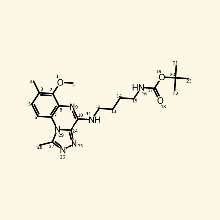 COc1c(C)ccc2c1nc(NCCCCNC(=O)OC(C)(C)C)c1nnc(C)n12